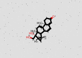 C[C@]12CCC(=O)C=C1C=CC1C2=CC[C@@]2(C)C1[C@@H]1C[C@@H]1[C@@]2(O)CO